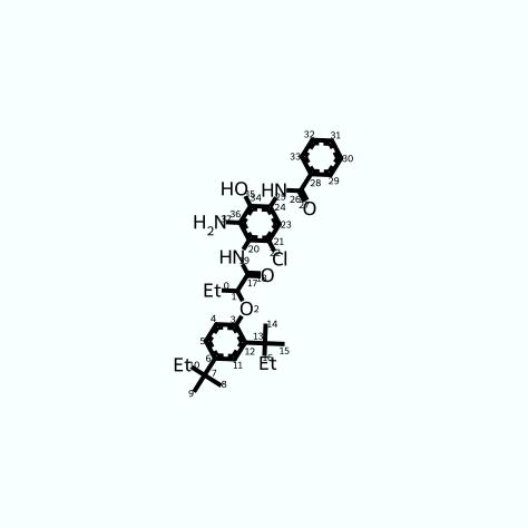 CCC(Oc1ccc(C(C)(C)CC)cc1C(C)(C)CC)C(=O)Nc1c(Cl)cc(NC(=O)c2ccccc2)c(O)c1N